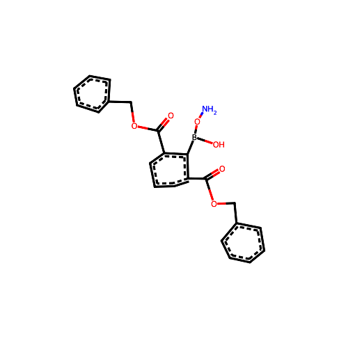 NOB(O)c1c(C(=O)OCc2ccccc2)cccc1C(=O)OCc1ccccc1